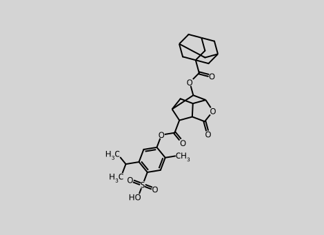 Cc1cc(S(=O)(=O)O)c(C(C)C)cc1OC(=O)C1C2CC3C(OC(=O)C31)C2OC(=O)C12CC3CC(CC(C3)C1)C2